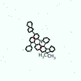 CC1(C)c2ccccc2-c2c(-c3ccccc3N(c3ccc(-c4ccc5ccccc5c4)cc3)c3ccccc3-c3ccccc3-c3ccccc3)cccc21